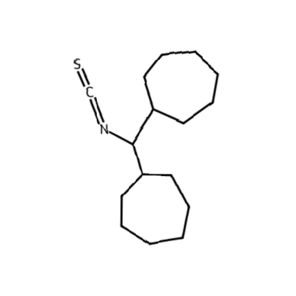 S=C=NC(C1CCCCCC1)C1CCCCCC1